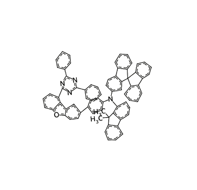 CC1(C)c2ccccc2-c2cccc(N(c3ccc(-c4ccc5oc6cccc(-c7nc(-c8ccccc8)nc(-c8ccccc8)n7)c6c5c4)cc3)c3ccc4c(c3)C3(c5ccccc5-c5ccccc53)c3ccccc3-4)c21